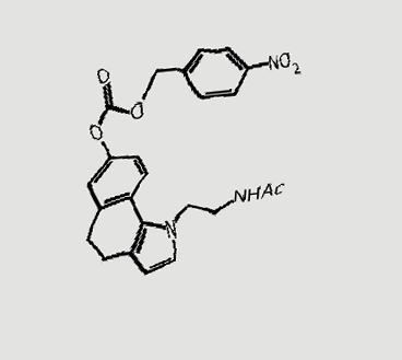 CC(=O)NCCn1ccc2c1-c1ccc(OC(=O)OCc3ccc([N+](=O)[O-])cc3)cc1CC2